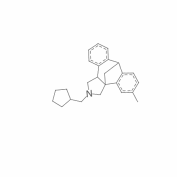 Cc1ccc2c(c1)C13CC2c2ccccc2C1CN(CC1CCCC1)C3